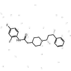 C[C@@H](C[C@H](C)N1CCC(CC(=O)Nc2ccc(F)cc2F)CC1)c1ccccc1